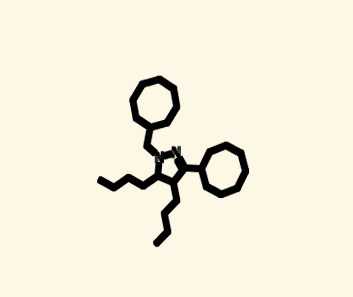 CCCCC1C(C2CCCCCCC2)=NN(CC2CCCCCCC2)C1CCCC